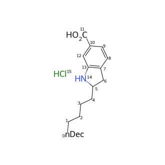 CCCCCCCCCCCCCCC1Cc2ccc(C(=O)O)cc2N1.Cl